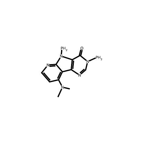 CN(C)c1ccnc2c1c1ncn(P)c(=O)c1n2P